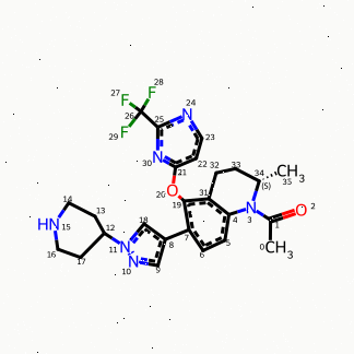 CC(=O)N1c2ccc(-c3cnn(C4CCNCC4)c3)c(Oc3ccnc(C(F)(F)F)n3)c2CC[C@@H]1C